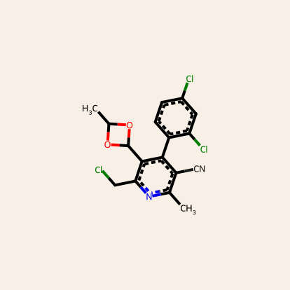 Cc1nc(CCl)c(C2OC(C)O2)c(-c2ccc(Cl)cc2Cl)c1C#N